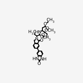 CCOC(=O)CC(NC(=O)C(CC)N1Cc2ccc(-c3ccc4[nH]c(=O)[nH]c4c3)cc2C1=O)C(CF)(OC)OC